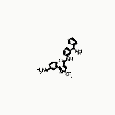 CC(C)NC(c1ccccc1)c1cccc(NC(=O)c2cc(C(F)(F)F)nn2-c2cccc(CN)c2)c1